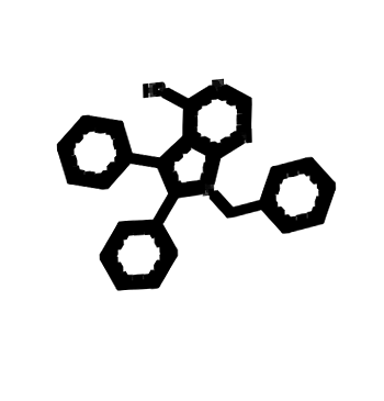 Oc1ncnc2c1c(-c1ccccc1)c(-c1ccccc1)n2Cc1ccccc1